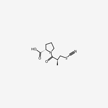 C[C@H](CSC#N)C(=O)N1CCC[C@H]1C(=O)O